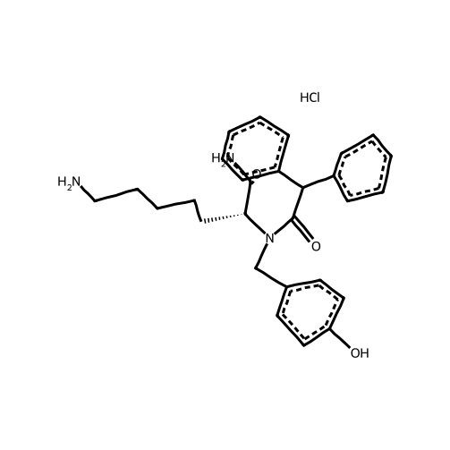 Cl.NCCCCC[C@H](C(N)=O)N(Cc1ccc(O)cc1)C(=O)C(c1ccccc1)c1ccccc1